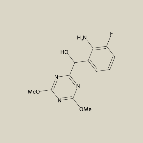 COc1nc(OC)nc(C(O)c2cccc(F)c2N)n1